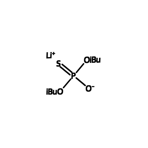 CC(C)COP([O-])(=S)OCC(C)C.[Li+]